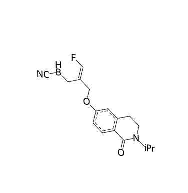 CC(C)N1CCc2cc(OC/C(=C/F)CBC#N)ccc2C1=O